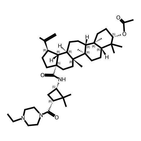 C=C(C)[C@@H]1CC[C@]2(C(=O)N[C@H]3C[C@@H](C(=O)N4CCN(CC)CC4)C3(C)C)CC[C@]3(C)[C@H](CC[C@@H]4[C@@]5(C)CC[C@H](OC(C)=O)C(C)(C)[C@@H]5CC[C@]43C)[C@@H]12